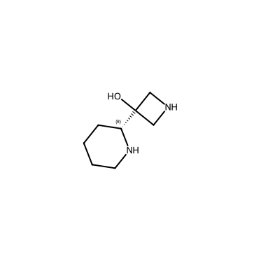 OC1([C@H]2CCCCN2)CNC1